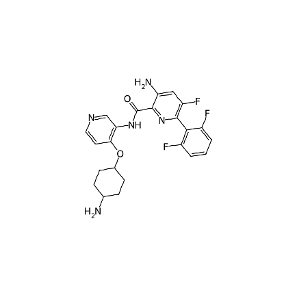 Nc1cc(F)c(-c2c(F)cccc2F)nc1C(=O)Nc1cnccc1OC1CCC(N)CC1